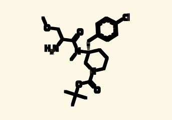 COCC(N)C(=O)N(C)[C@@]1(Cc2ccc(Cl)cc2)CCCN(C(=O)OC(C)(C)C)C1